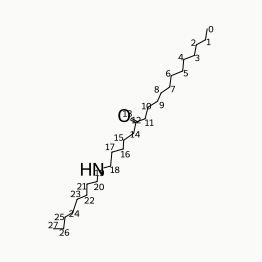 CCCCCCCCCCCCC(=O)CCCCCNCCCCCCCC